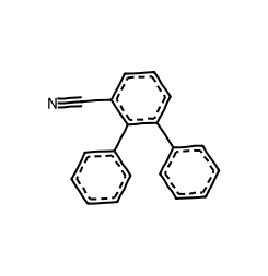 N#Cc1cccc(-c2ccccc2)c1-c1ccccc1